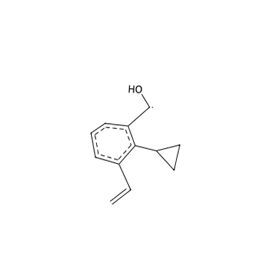 C=Cc1cccc([CH]O)c1C1CC1